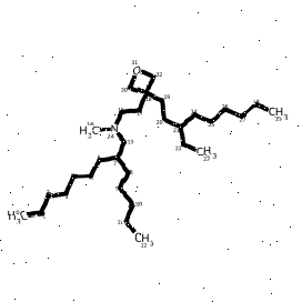 CCCCCCCC(CCCCC)CN(C)CCC1(CCC(CC)CCCCCC)COC1